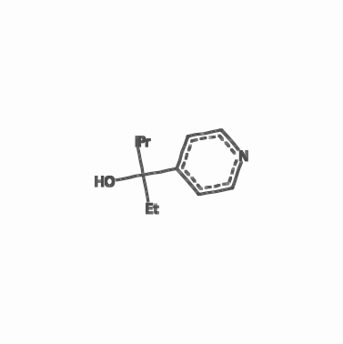 CCC(O)(c1ccncc1)C(C)C